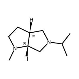 CC(C)N1C[C@H]2CCN(C)[C@H]2C1